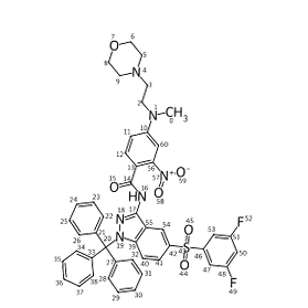 CN(CCN1CCOCC1)c1ccc(C(=O)Nc2nn(C(c3ccccc3)(c3ccccc3)c3ccccc3)c3ccc(S(=O)(=O)c4cc(F)cc(F)c4)cc23)c([N+](=O)[O-])c1